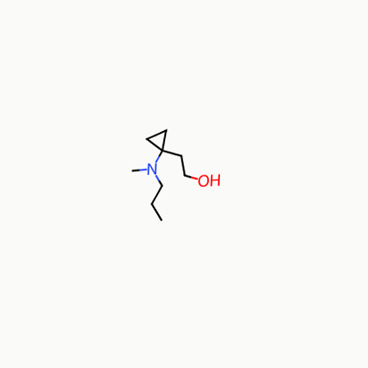 CCCN(C)C1(CCO)CC1